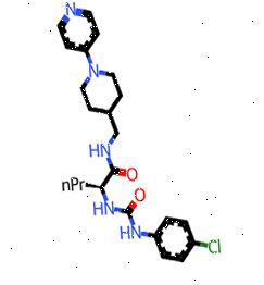 CCC[C@H](NC(=O)Nc1ccc(Cl)cc1)C(=O)NCC1CCN(c2ccncc2)CC1